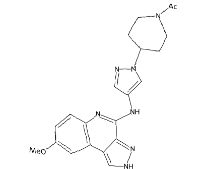 COc1ccc2nc(Nc3cnn(C4CCN(C(C)=O)CC4)c3)c3n[nH]cc3c2c1